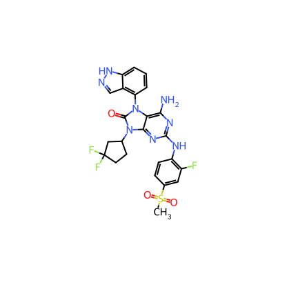 CS(=O)(=O)c1ccc(Nc2nc(N)c3c(n2)n(C2CCC(F)(F)C2)c(=O)n3-c2cccc3[nH]ncc23)c(F)c1